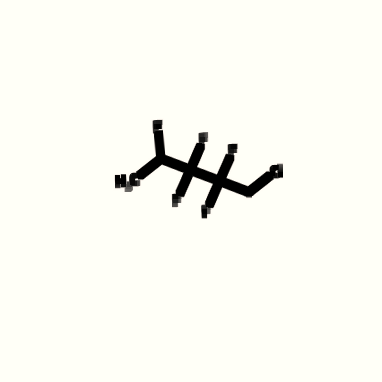 CC(F)C(F)(F)C(F)(F)[CH]Cl